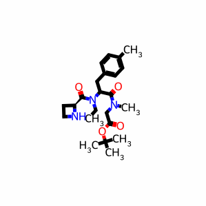 CCN(C(=O)[C@@H]1CCN1)C(Cc1ccc(C)cc1)C(=O)N(C)CC(=O)OC(C)(C)C